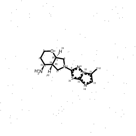 N[C@H]1CCO[C@H]2CN(c3nn4c(I)cnc4s3)C[C@@H]21